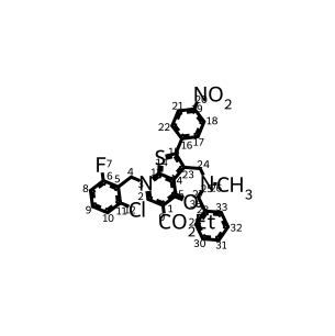 CCOC(=O)c1cn(Cc2c(F)cccc2Cl)c2sc(-c3ccc([N+](=O)[O-])cc3)c(CN(C)Cc3ccccc3)c2c1=O